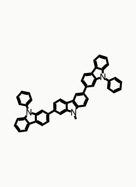 Cn1c2ccc(-c3ccc4c5ccccc5n(-c5ccccc5)c4c3)cc2c2ccc(-c3ccc4c5ccccc5n(-c5ccccc5)c4c3)cc21